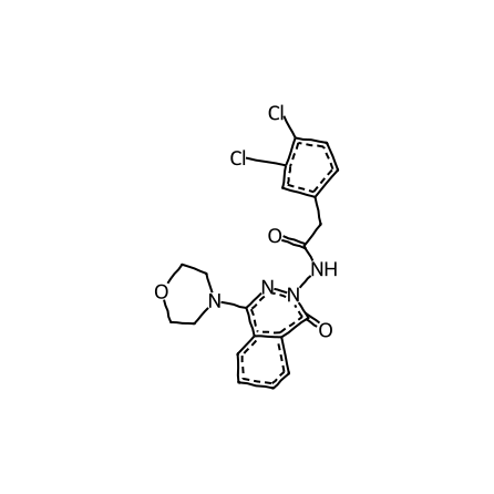 O=C(Cc1ccc(Cl)c(Cl)c1)Nn1nc(N2CCOCC2)c2ccccc2c1=O